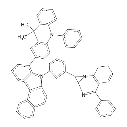 CC1(C)c2ccccc2N(c2ccccc2)c2ccc(-c3cccc4c5c6ccccc6ccc5n(-c5cccc(C6C7N=C(c8ccccc8)C8=C(CCC=C8)N76)c5)c34)cc21